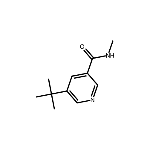 CNC(=O)c1cncc(C(C)(C)C)c1